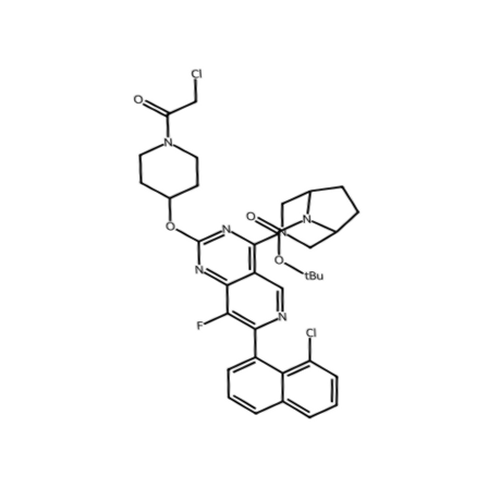 CC(C)(C)OC(=O)N1C2CCC1CN(c1nc(OC3CCN(C(=O)CCl)CC3)nc3c(F)c(-c4cccc5cccc(Cl)c45)ncc13)C2